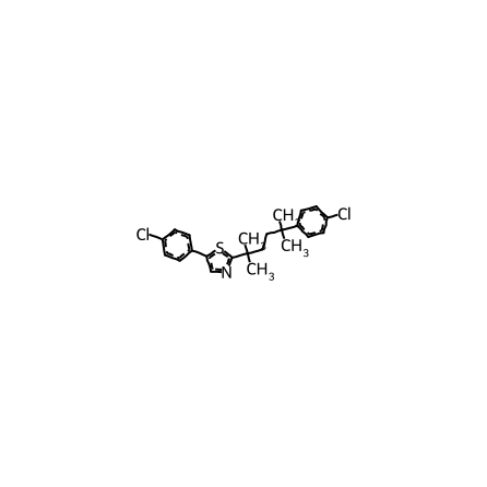 CC(C)(CCC(C)(C)c1ncc(-c2ccc(Cl)cc2)s1)c1ccc(Cl)cc1